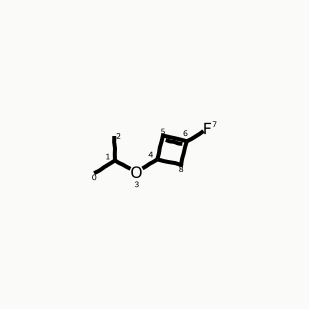 CC(C)OC1C=C(F)C1